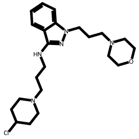 ClC1CCN(CCCNc2nn(CCCN3CCOCC3)c3ccccc23)CC1